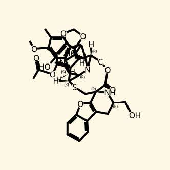 COc1c(C)cc2c(c1O)[C@H]1[C@@H]3[C@@H]4SC[C@]5(N[C@@H](CO)Cc6c5oc5ccccc65)C(=O)OC[C@@H](c5c6c(c(C)c(OC(C)=O)c54)OCO6)N3[C@]3(O)C2[C@@H]3N1C